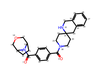 O=C(c1ccc(C(=O)N2C3CCC2COC3)cc1)N1CCC2(CC1)Cc1ccccc1CN2